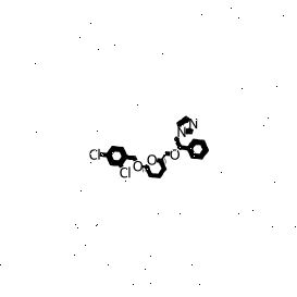 Clc1ccc(CO[C@@H]2CCC[C@H](COC(Cn3ccnc3)c3ccccc3)O2)c(Cl)c1